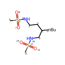 CCCCC(CCNS(C)(=O)=O)CNS(C)(=O)=O